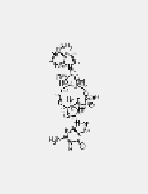 Nc1nc2c(nnn2[C@@H]2SC3OCC[C@H]4[C@H](F)[C@H](n5ccc6c(N)ncnc65)O[C@@H]4COP(=O)(S)O[C@@H]2[C@@H]3F)c(=O)[nH]1